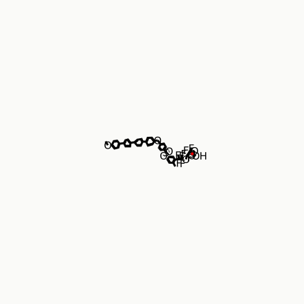 COc1ccc(-c2ccc(-c3ccc(-c4ccc(Oc5ccc(S(=O)(=O)c6ccc(C)c(C(F)(F)C(F)(F)OC(F)(F)C(F)(F)S(=O)(=O)O)c6)cc5)cc4)cc3)cc2)cc1